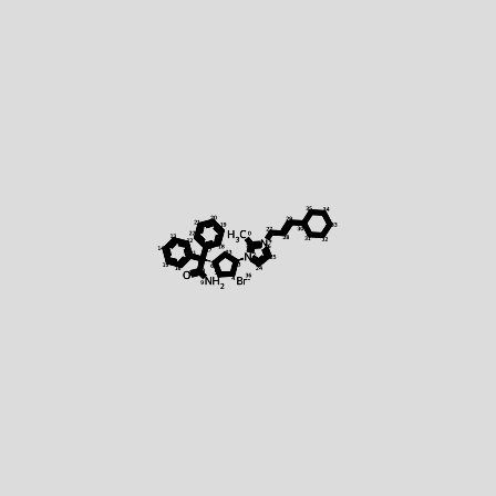 Cc1n([C@@H]2CC[C@H](C(C(N)=O)(c3ccccc3)c3ccccc3)C2)cc[n+]1CC=CC1CCCCC1.[Br-]